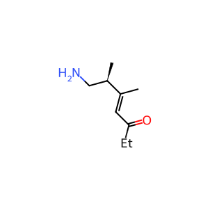 CCC(=O)/C=C(\C)[C@H](C)CN